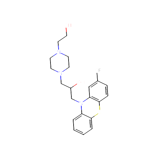 OCCN1CCN(CC(O)CN2c3ccccc3Sc3ccc(C(F)(F)F)cc32)CC1